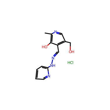 Cc1ncc(CO)c(C=NNc2ccccn2)c1O.Cl